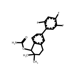 CC1(C)CCc2cc(-c3cc(F)c(F)cc3F)ccc2C1OC(N)=O